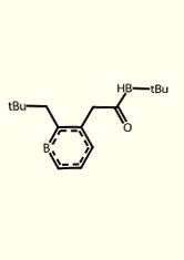 CC(C)(C)BC(=O)Cc1cccbc1CC(C)(C)C